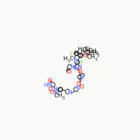 CCc1c(F)ccc2cc(O[Si](C(C)C)(C(C)C)C(C)C)cc(-c3ncc4c(N5CCC[C@@]6(CCO6)C5)nc(OC[C@]56CCCN5[C@@H](COC(=O)N5CCC(CN7CCC(c8ccc9c(c8)n(C)c(=O)n9C8CCC(=O)NC8=O)CC7)CC5)CC6)nc4c3F)c12